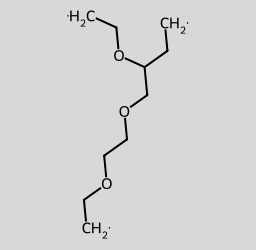 [CH2]COCCOCC(C[CH2])OC[CH2]